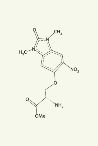 COC(=O)[C@@H](N)COc1cc2c(cc1[N+](=O)[O-])n(C)c(=O)n2C